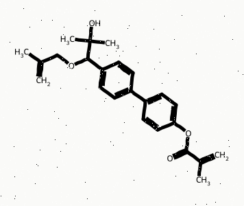 C=C(C)COC(c1ccc(-c2ccc(OC(=O)C(=C)C)cc2)cc1)C(C)(C)O